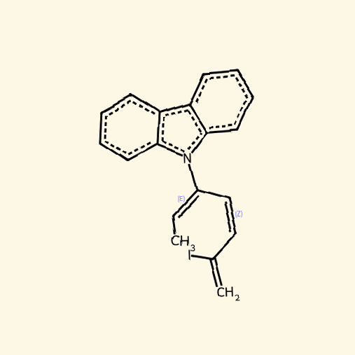 C=C(I)/C=C\C(=C/C)n1c2ccccc2c2ccccc21